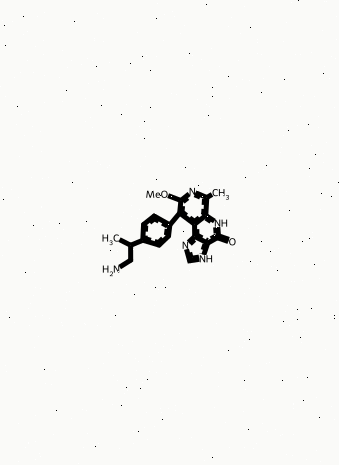 COc1nc(C)c2[nH]c(=O)c3[nH]cnc3c2c1-c1ccc(C(C)CN)cc1